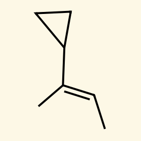 CC=C(C)C1CC1